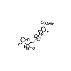 COC(=O)c1cc(F)c2nc(C34CC5CC3C(CN(CCc3c(-c6c(Cl)cccc6Cl)noc3C3CC3)C5)C4)sc2c1